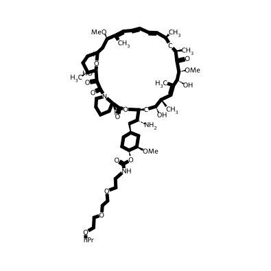 CCCOCCOCCOCCNC(=O)O[C@@H]1CC[C@@H](C[C@@H](N)[C@@H]2C[C@@H](O)[C@H](C)/C=C(\C)[C@@H](O)[C@@H](OC)C(=O)[C@H](C)C[C@H](C)/C=C/C=C/C=C(\C)[C@@H](OC)C[C@@H]3CC[C@@H](C)[C@@](O)(O3)C(=O)C(=O)N3CCCC[C@H]3C(=O)O2)C[C@H]1OC